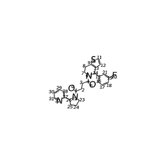 O=C(CCC(=O)N1CCc2sccc2C1c1cccc(F)c1)N1CCCC1c1ccccn1